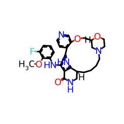 COc1c(F)cccc1Nc1c2[nH]c3c1C(=O)NC[C@@H]3CCCCN1CCO[C@H](COc3cnccc3-2)C1